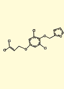 ClC(Cl)=CCOc1cc(Cl)c(OCc2ccco2)c(Cl)c1